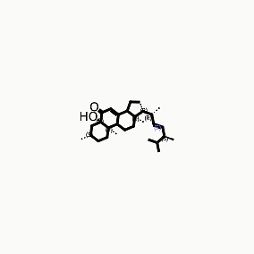 CC(C)[C@H](C)/C=C/[C@@H](C)[C@H]1CCC2C3=CC(=O)[C@@]4(O)C[C@@H](C)CC[C@]4(C)C3CC[C@@]21C